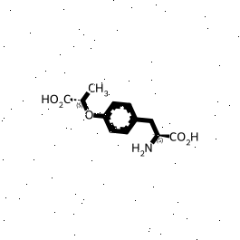 C[C@H](Oc1ccc(C[C@H](N)C(=O)O)cc1)C(=O)O